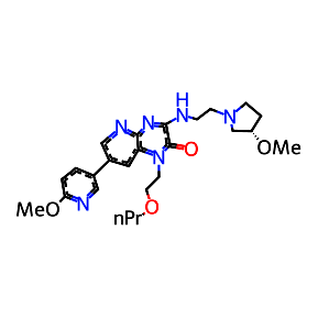 CCCOCCn1c(=O)c(NCCN2CC[C@H](OC)C2)nc2ncc(-c3ccc(OC)nc3)cc21